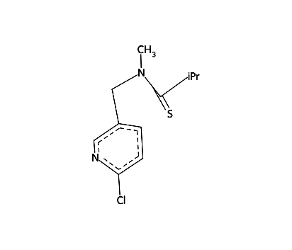 CC(C)C(=S)N(C)Cc1ccc(Cl)nc1